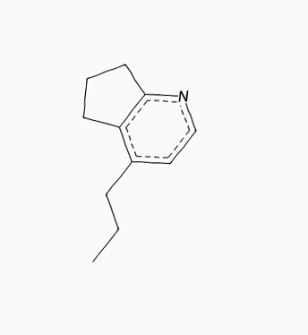 CCCc1ccnc2c1CCC2